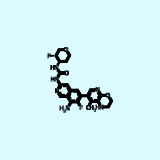 Cc1c(-c2cc3cc(NC(=O)N[C@@H]4CCOC[C@H]4F)ncc3c(N)c2F)cnc2c1NCCO2